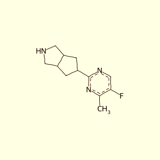 Cc1nc(C2CC3CNCC3C2)ncc1F